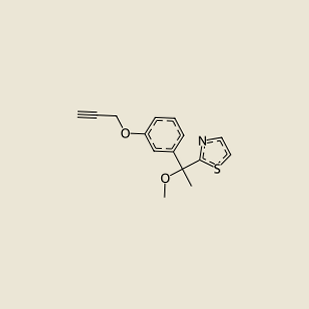 C#CCOc1cccc(C(C)(OC)c2nccs2)c1